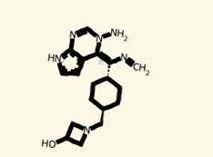 C=N/C(=C1/c2cc[nH]c2N=CN1N)[C@H]1CC[C@H](CN2CC(O)C2)CC1